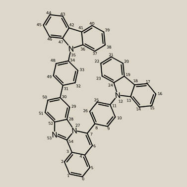 c1ccc2c(c1)cc(-c1ccc(-n3c4ccccc4c4ccccc43)cc1)n1c3cc(-c4ccc(-n5c6ccccc6c6ccccc65)cc4)ccc3nc21